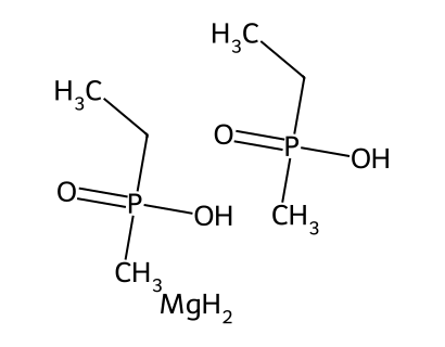 CCP(C)(=O)O.CCP(C)(=O)O.[MgH2]